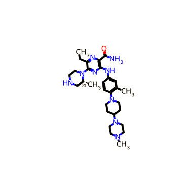 CCc1nc(C(N)=O)c(Nc2ccc(N3CCC(N4CCN(C)CC4)CC3)c(C)c2)nc1N1CCNC[C@H]1C